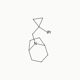 CC(C)C1(CN2C3CCCC2CC3)CC1